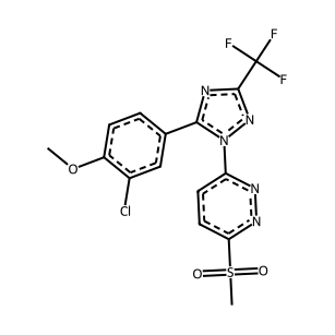 COc1ccc(-c2nc(C(F)(F)F)nn2-c2ccc(S(C)(=O)=O)nn2)cc1Cl